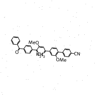 C=C(/C=C(/OC)C(=C)c1ccc(C(=O)c2ccccc2)cc1)c1ccc(-c2ccc(C#N)cc2)c(OC)c1